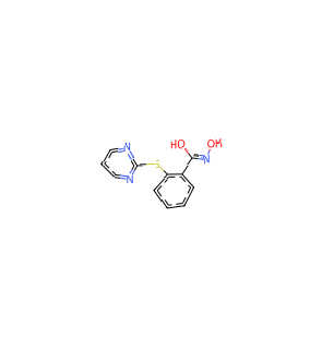 ON=C(O)c1ccccc1Sc1ncccn1